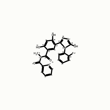 CN(C(=O)c1ccccn1)C(=O)c1cc(-c2nnc(O)n2-c2ccccc2F)c(O)cc1O